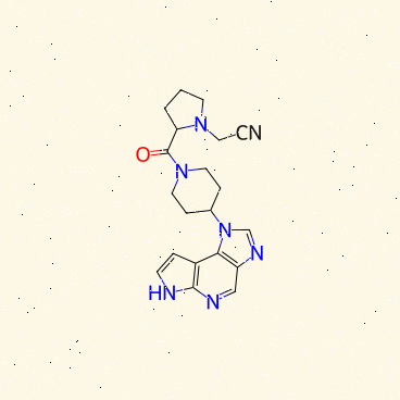 N#CCN1CCCC1C(=O)N1CCC(n2cnc3cnc4[nH]ccc4c32)CC1